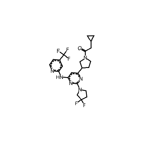 O=C(CC1CC1)N1CCC(c2cc(Nc3cc(C(F)(F)F)ccn3)nc(N3CCC(F)(F)C3)n2)C1